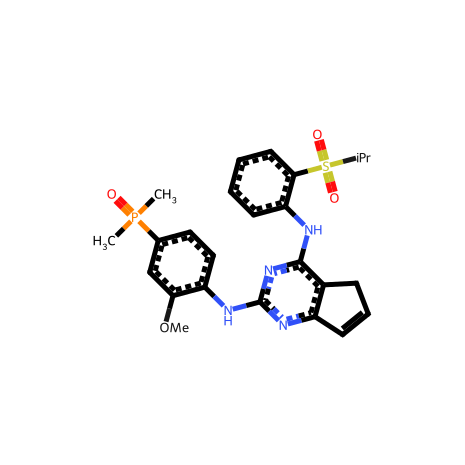 COc1cc(P(C)(C)=O)ccc1Nc1nc2c(c(Nc3ccccc3S(=O)(=O)C(C)C)n1)CC=C2